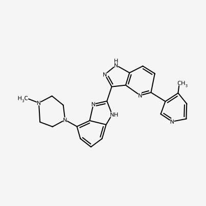 Cc1ccncc1-c1ccc2[nH]nc(-c3nc4c(N5CCN(C)CC5)cccc4[nH]3)c2n1